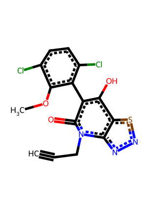 C#CCn1c(=O)c(-c2c(Cl)ccc(Cl)c2OC)c(O)c2snnc21